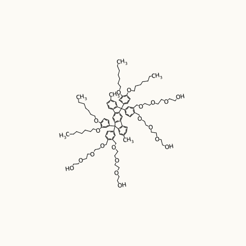 CCCCCCCOc1ccc(C2(c3ccc(COCCOCCOCCO)c(COCCOCCOCCO)c3)c3cc(C)ccc3-c3cc4c(cc32)-c2ccc(C)cc2C4(c2ccc(COCCOCCOCCO)c(COCCOCCOCCO)c2)c2ccc(OCCCCCCC)c(OCCCCCCC)c2)cc1OCCCCCCC